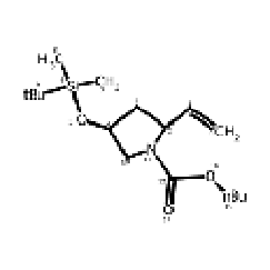 C=CC1CC(O[Si](C)(C)C(C)(C)C)CN1C(=O)OCCCC